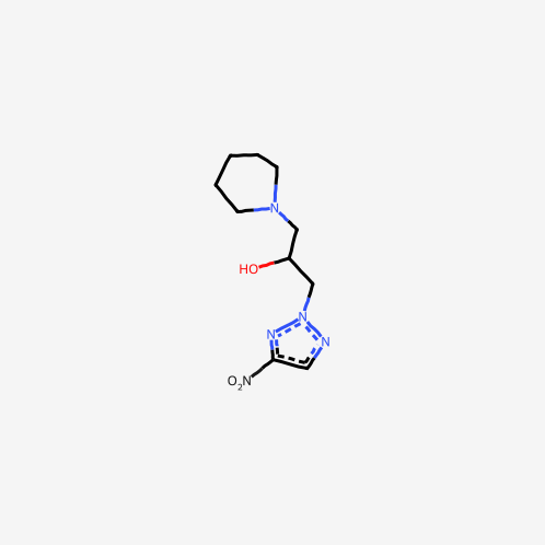 O=[N+]([O-])c1cnn(CC(O)CN2CCCCC2)n1